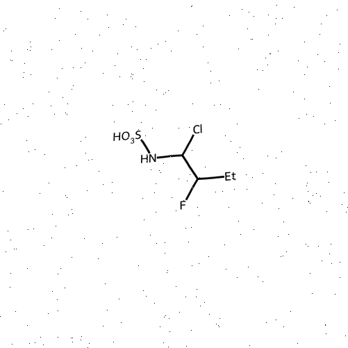 CCC(F)C(Cl)NS(=O)(=O)O